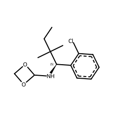 CCC(C)(C)[C@H](NC1OCO1)c1ccccc1Cl